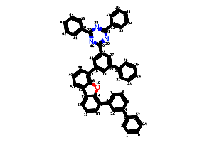 c1ccc(-c2cccc(-c3cccc4c3oc3c(-c5cc(-c6ccccc6)cc(-c6nc(-c7ccccc7)nc(-c7ccccc7)n6)c5)cccc34)c2)cc1